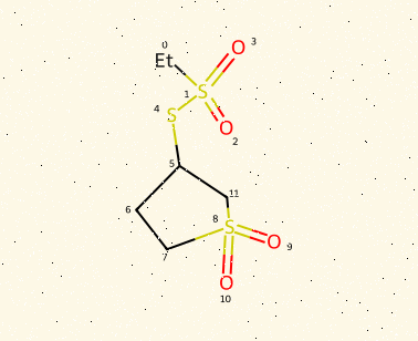 CCS(=O)(=O)SC1CCS(=O)(=O)C1